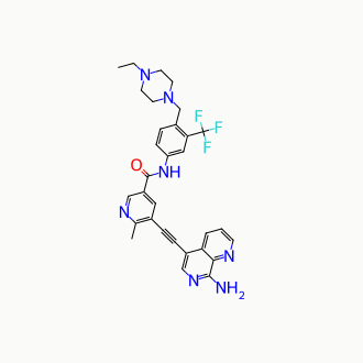 CCN1CCN(Cc2ccc(NC(=O)c3cnc(C)c(C#Cc4cnc(N)c5ncccc45)c3)cc2C(F)(F)F)CC1